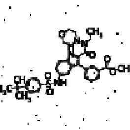 CCN(C(=O)c1[nH]c2ccc(NS(=O)(=O)c3ccc(C(C)(C)C)cc3)cc2c1-c1cccc(C(=O)OC)c1)N1CCOCC1